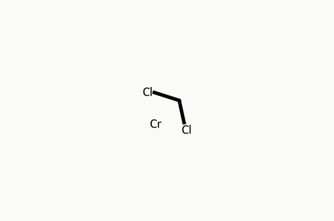 ClCCl.[Cr]